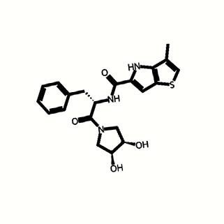 Cc1csc2cc(C(=O)N[C@@H](Cc3ccccc3)C(=O)N3C[C@@H](O)[C@@H](O)C3)[nH]c12